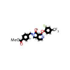 COC(=O)c1ccc(CN2Cc3ccnc(Oc4ccc(C(F)(F)F)cc4F)c3C2=O)cc1